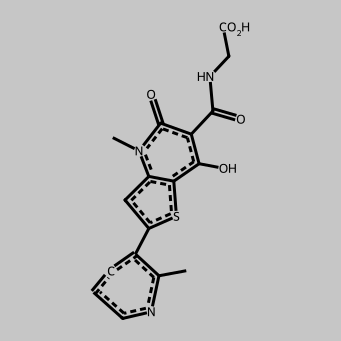 Cc1ncccc1-c1cc2c(s1)c(O)c(C(=O)NCC(=O)O)c(=O)n2C